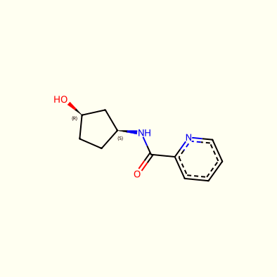 O=C(N[C@H]1CC[C@@H](O)C1)c1ccccn1